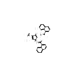 CC1=C(C)C(C)(C)[C]([Ti+]([O]C(=O)c2cccc3ccccc23)[O]C(=O)c2cccc3ccccc23)=C1C.C[O-]